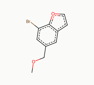 COCc1cc(Br)c2occc2c1